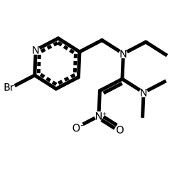 CCN(Cc1ccc(Br)nc1)C(=C[N+](=O)[O-])N(C)C